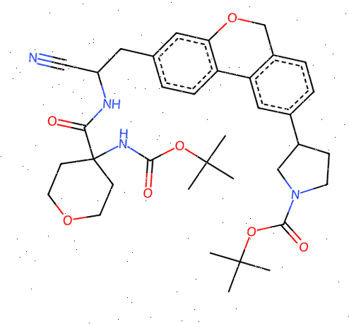 CC(C)(C)OC(=O)NC1(C(=O)NC(C#N)Cc2ccc3c(c2)OCc2ccc(C4CCN(C(=O)OC(C)(C)C)C4)cc2-3)CCOCC1